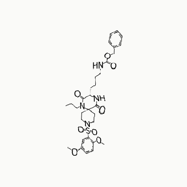 CCCN1C(=O)[C@H](CCCCNC(=O)OCc2ccccc2)NC(=O)C12CCN(S(=O)(=O)c1cc(OC)ccc1OC)CC2